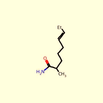 CCC=CCCCC(C)C(N)=O